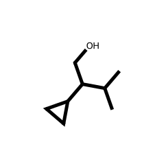 CC(C)C(CO)C1CC1